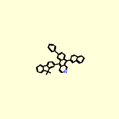 CC1(C)c2ccccc2-c2ccc(-c3c4ccncc4c(-c4ccc5ccccc5c4)c4ccc(-c5ccccc5)cc34)cc21